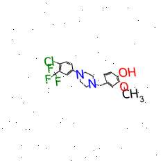 COc1cc(CN2CCN(c3ccc(Cl)c(C(F)(F)F)c3)CC2)ccc1O